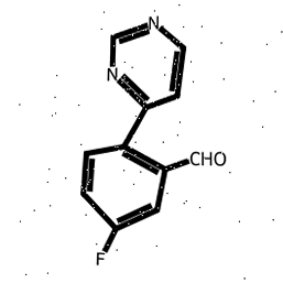 O=Cc1cc(F)ccc1-c1ccncn1